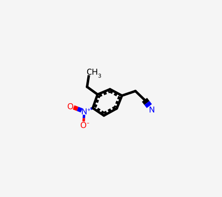 CCc1cc(CC#N)ccc1[N+](=O)[O-]